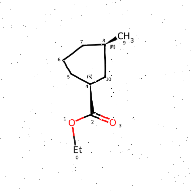 CCOC(=O)[C@H]1CCC[C@@H](C)C1